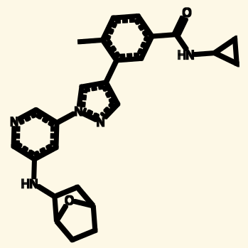 Cc1ccc(C(=O)NC2CC2)cc1-c1cnn(-c2cncc(NC3CC4CCC3O4)c2)c1